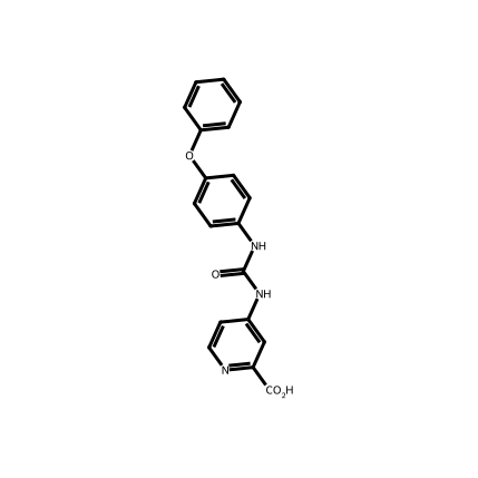 O=C(Nc1ccc(Oc2ccccc2)cc1)Nc1ccnc(C(=O)O)c1